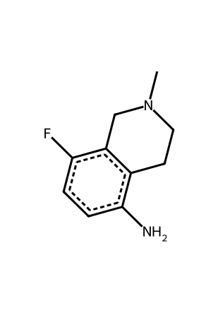 CN1CCc2c(N)ccc(F)c2C1